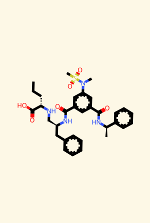 CCC[C@H](NC[C@H](Cc1ccccc1)NC(=O)c1cc(C(=O)N[C@H](C)c2ccccc2)cc(N(C)S(C)(=O)=O)c1)C(=O)O